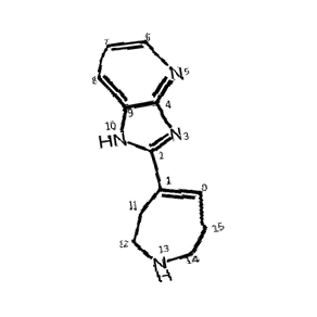 C1=C(c2nc3ncccc3[nH]2)CCNCC1